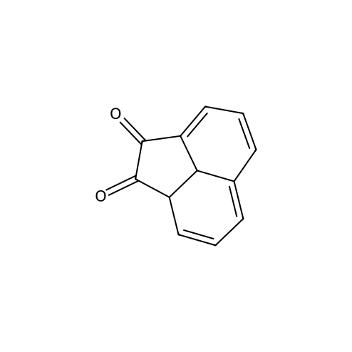 O=C1C(=O)C2C=CC=C3C=CC=C1C32